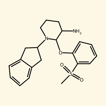 CS(=O)(=O)c1ccccc1OC1C(N)CCCN1C1Cc2ccccc2C1